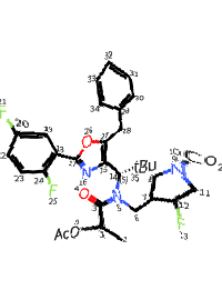 CC(=O)OC(C)C(=O)N(CC1CN(C(=O)O)CC1F)[C@H](c1nc(-c2cc(F)ccc2F)oc1Cc1ccccc1)C(C)(C)C